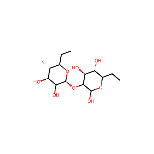 CCC1O[C@@H](OC2C(O)OC(CC)[C@@H](O)[C@@H]2O)C(O)[C@@H](O)[C@@H]1C